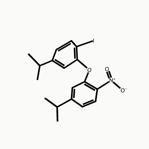 CC(C)c1ccc(I)c(Oc2cc(C(C)C)ccc2[N+](=O)[O-])c1